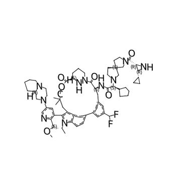 CCn1c(-c2cc(N3CCN4CCCC[C@@H]4C3)cnc2[C@H](C)OC)c2c3cc(ccc31)-c1cc(cc(C(F)F)c1)C[C@H](NC(=O)[C@H](C1CCCC1)N1CC[C@]3(CCN(C(=O)[C@@H]4N[C@@H]4C4CC4)C3)C1)C(=O)N1CCC[C@H](N1)C(=O)OCC(C)(C)C2